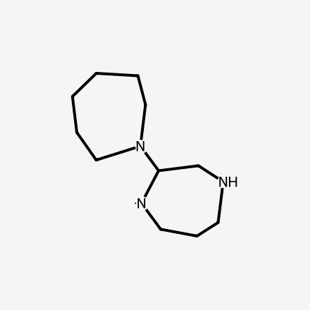 C1CCCN(C2CNCCC[N]2)CC1